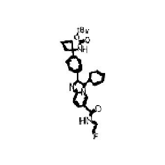 CC(C)(C)OC(=O)NC1(c2ccc(C3N=C4C=CC(C(=O)NCCF)=CN4C3C3C=CC=CC3)cc2)CCC1